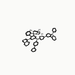 c1ccc(-c2ccc(N(c3ccc(-c4ccc5c(c4)c4ccccc4n5-c4ccccc4)cc3)c3cc(-c4cccc5ccccc45)c4c(c3)C3(c5ccccc5-4)C4C[C@H]5C[C@@H](C4)C[C@@H]3C5)cc2)cc1